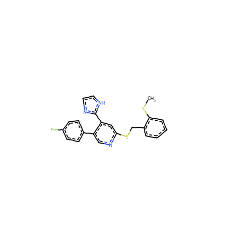 CSc1ccccc1CSc1cc(-c2ncc[nH]2)c(-c2ccc(F)cc2)cn1